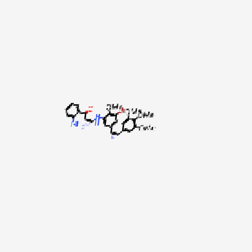 COc1cc(/C=C\c2cc(Br)c(OC)c(N/C=C\C(=O)c3ccccc3N)c2)cc(OC)c1OC